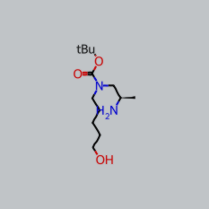 C[C@@H](N)CN(CCCCCO)C(=O)OC(C)(C)C